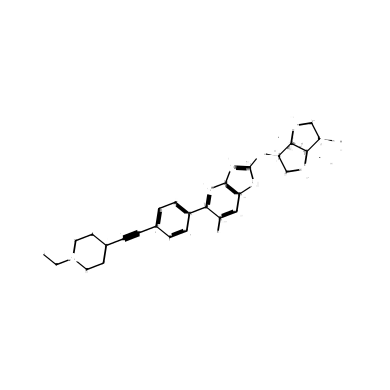 CCN1CCC(C#Cc2ccc(-c3nc4nc(O[C@@H]5CO[C@H]6[C@@H]5OC[C@H]6O)[nH]c4cc3Cl)cc2)CC1